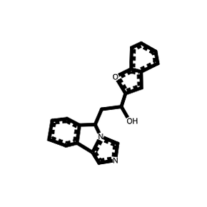 OC(CC1c2ccccc2-c2cncn21)c1cc2ccccc2o1